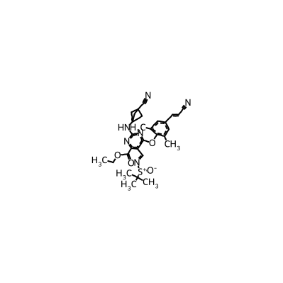 CCOC(=O)c1nc(NC23CC(C#N)(C2)C3)nc(Oc2c(C)cc(/C=C/C#N)cc2C)c1/C=N/[S@@+]([O-])C(C)(C)C